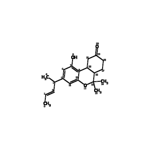 CC=CC(C)c1cc(O)c2c(c1)OC(C)(C)C1CCC(=O)CC21